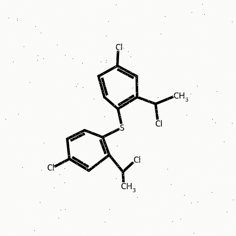 CC(Cl)c1cc(Cl)ccc1Sc1ccc(Cl)cc1C(C)Cl